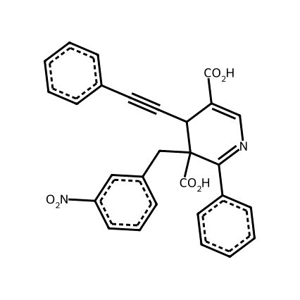 O=C(O)C1=CN=C(c2ccccc2)C(Cc2cccc([N+](=O)[O-])c2)(C(=O)O)C1C#Cc1ccccc1